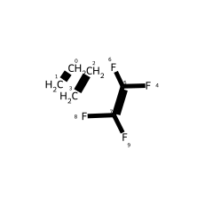 C=C.C=C.FC(F)=C(F)F